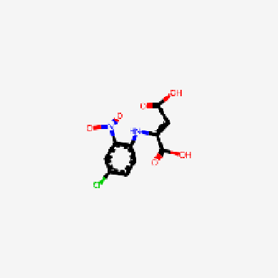 O=C(O)/C=C(\Nc1ccc(Cl)cc1[N+](=O)[O-])C(=O)O